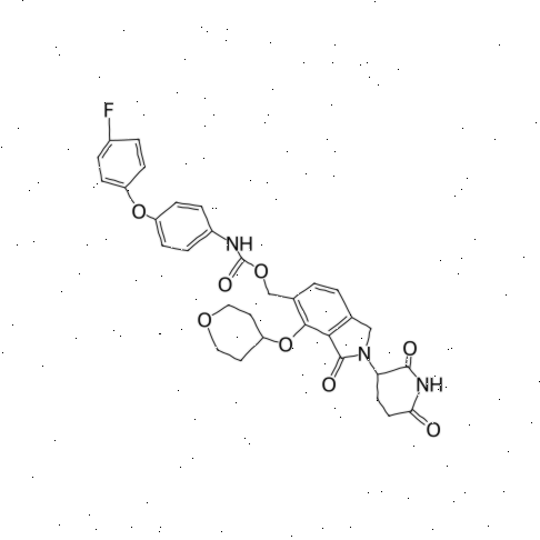 O=C1CCC(N2Cc3ccc(COC(=O)Nc4ccc(Oc5ccc(F)cc5)cc4)c(OC4CCOCC4)c3C2=O)C(=O)N1